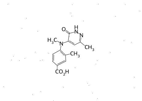 Cc1cc(N(C)c2ccc(C(=O)O)cc2C)c(=O)[nH]n1